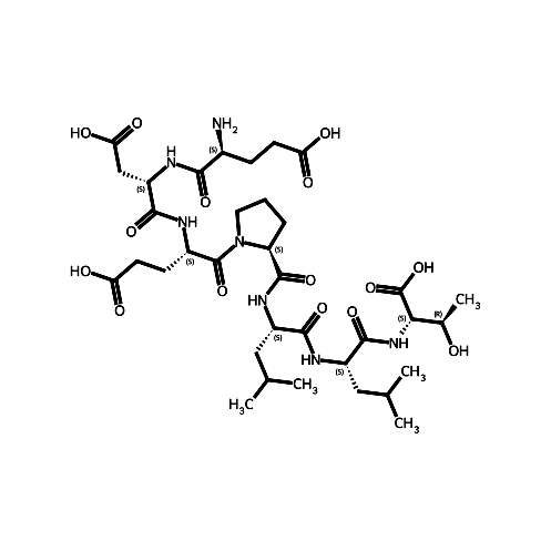 CC(C)C[C@H](NC(=O)[C@H](CC(C)C)NC(=O)[C@@H]1CCCN1C(=O)[C@H](CCC(=O)O)NC(=O)[C@H](CC(=O)O)NC(=O)[C@@H](N)CCC(=O)O)C(=O)N[C@H](C(=O)O)[C@@H](C)O